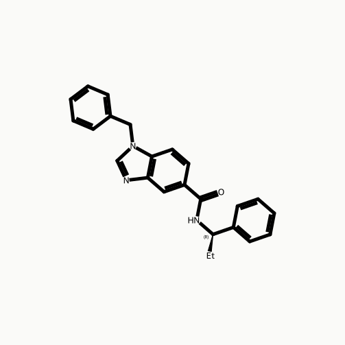 CC[C@@H](NC(=O)c1ccc2c(c1)ncn2Cc1ccccc1)c1ccccc1